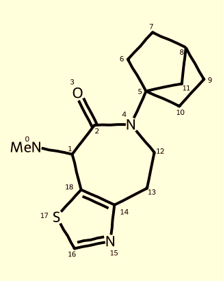 CNC1C(=O)N(C23CCC(CC2)C3)CCc2ncsc21